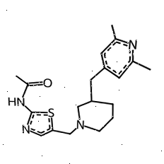 CC(=O)Nc1ncc(CN2CCCC(Cc3cc(C)nc(C)c3)C2)s1